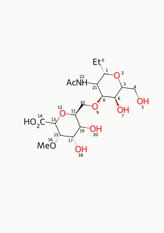 CC[C@@H]1OC(CO)[C@@H](O)[C@@H](OC[C@@H]2OC(C(=O)O)[C@@H](OC)[C@@H](O)C2O)C1NC(C)=O